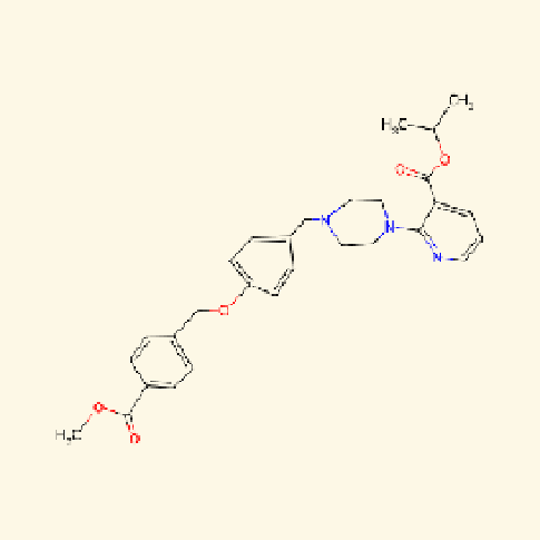 COC(=O)c1ccc(COc2ccc(CN3CCN(c4ncccc4C(=O)OC(C)C)CC3)cc2)cc1